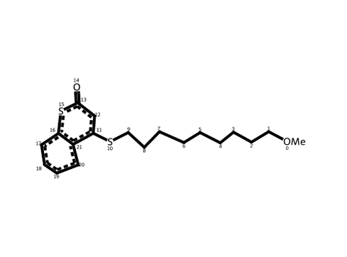 COCCCCCCCCCSc1cc(=O)sc2ccccc12